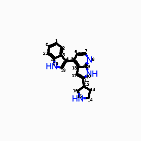 c1ccc2c(-c3ccnc4[nH]c(C5CCNC5)cc34)c[nH]c2c1